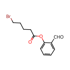 O=Cc1ccccc1OC(=O)CCCCBr